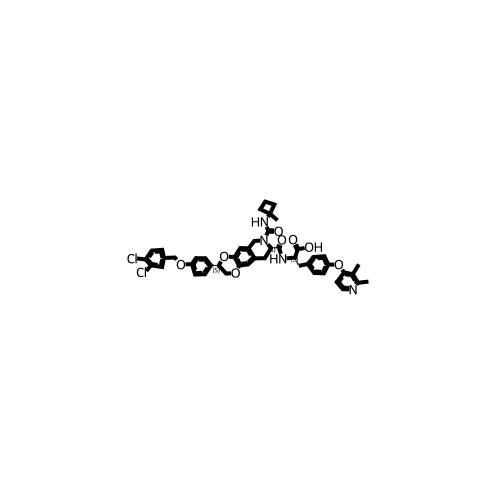 Cc1nccc(Oc2ccc(C[C@H](NC(=O)[C@@H]3Cc4cc5c(cc4CN3C(=O)NC3(C)CCC3)O[C@@H](c3ccc(OCc4ccc(Cl)c(Cl)c4)cc3)CO5)C(=O)O)cc2)c1C